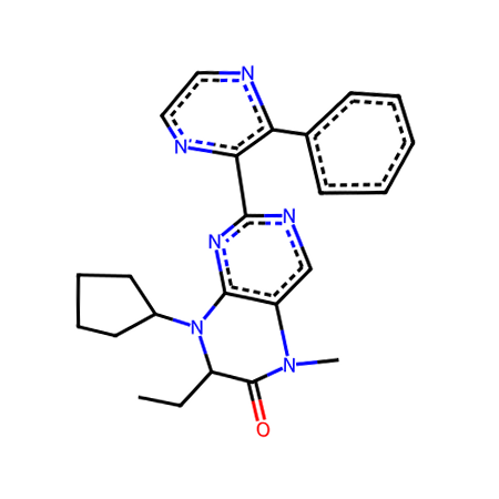 CCC1C(=O)N(C)c2cnc(-c3nccnc3-c3ccccc3)nc2N1C1CCCC1